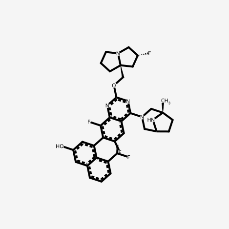 C[C@]12CCC(CN(c3nc(OC[C@@]45CCCN4C[C@H](F)C5)nc4c(F)c(-c5cc(O)cc6cccc(C(F)F)c56)c(F)cc34)C1)N2